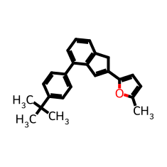 Cc1ccc(C2=Cc3c(cccc3-c3ccc(C(C)(C)C)cc3)C2)o1